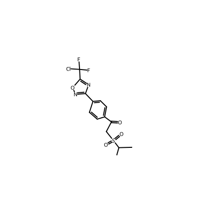 CC(C)S(=O)(=O)CC(=O)c1ccc(-c2noc(C(F)(F)Cl)n2)cc1